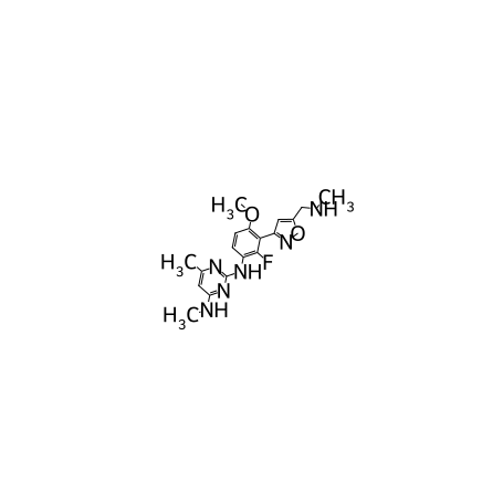 CNCc1cc(-c2c(OC)ccc(Nc3nc(C)cc(NC)n3)c2F)no1